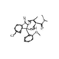 COc1ccccc1C1(N[C@H](C(=O)N(C)C)C(C)C)C(=O)Nc2ccc(Cl)cc21